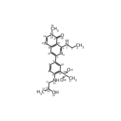 CCNc1nc(-c2ccc(NC[C@H](C)O)c(S(C)(=O)=O)c2)cc2ncn(C)c(=O)c12